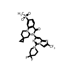 CS(=O)(=O)c1ccc(C(=O)Nc2cc3nc(C(F)(F)F)cn3c(N3CCC(F)(F)CC3)n2)c(N2CCC3(CC2)CC3)c1